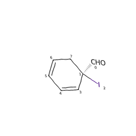 O=C[C@]1(I)C=CC=CC1